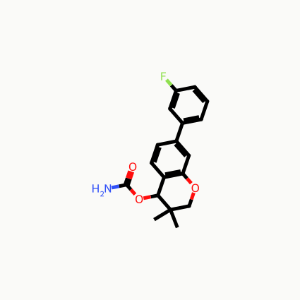 CC1(C)COc2cc(-c3cccc(F)c3)ccc2C1OC(N)=O